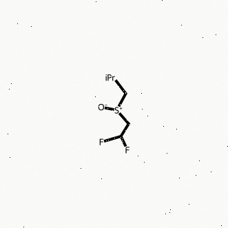 CC(C)C[S+]([O-])CC(F)F